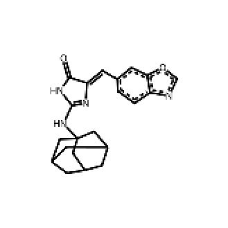 O=C1NC(NC23CC4CC(CC(C4)C2)C3)=N/C1=C\c1ccc2ncoc2c1